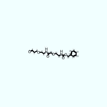 O=CCCOCCNC(=O)COCCNC(=O)OCc1ccccc1